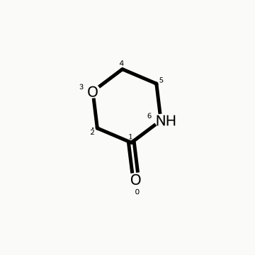 O=C1[CH]OCCN1